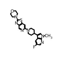 Cn1cc(C2CCN(c3cc4sc(N5CCOCC5)nc4cn3)CC2)c2cc(F)cnc21